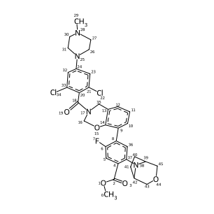 COC(=O)c1cc(F)c(-c2cccc3c2OCN(C(=O)c2c(Cl)cc(N4CCN(C)CC4)cc2Cl)C3)cc1N1C2CCC1COC2